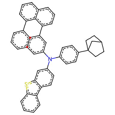 c1ccc(-c2cccc3cccc(-c4cccc(N(c5ccc(C67CCC(CC6)C7)cc5)c5ccc6c(c5)sc5ccccc56)c4)c23)cc1